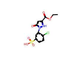 CCOC(=O)c1cc(=O)n(-c2cc(S(=O)(=O)O)ccc2Cl)[nH]1